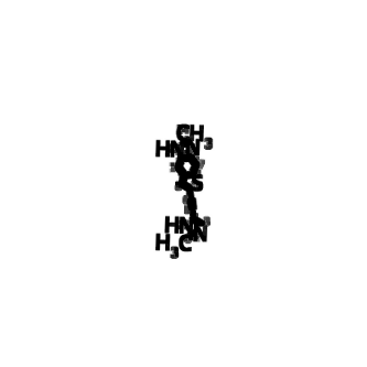 Cc1ncc(C#Cc2cc3cc4[nH]c(C)nc4cc3s2)[nH]1